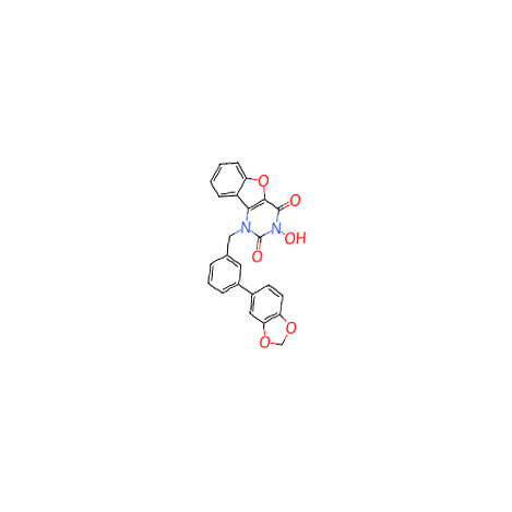 O=c1c2oc3ccccc3c2n(Cc2cccc(-c3ccc4c(c3)OCO4)c2)c(=O)n1O